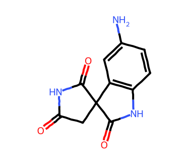 Nc1ccc2c(c1)C1(CC(=O)NC1=O)C(=O)N2